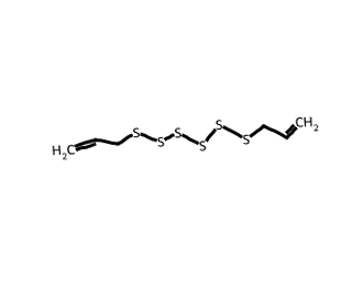 C=CCSSSSSSCC=C